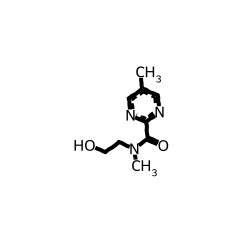 Cc1cnc(C(=O)N(C)CCO)nc1